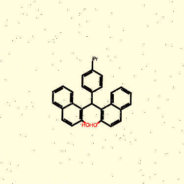 CC(C)c1ccc(C(c2c(O)ccc3ccccc23)c2c(O)ccc3ccccc23)cc1